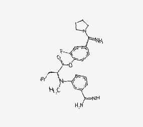 CC(C)C[C@@H](C(=O)Oc1ccc(C(=N)N2CCCC2)cc1F)N(C)c1cccc(C(=N)N)c1